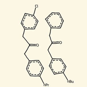 CCCCc1ccc(CC(=O)Cc2ccccc2)cc1.CCCc1ccc(CC(=O)Cc2ccc(Cl)cc2)cc1